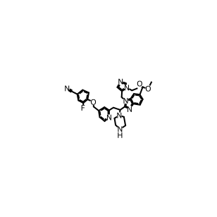 CCn1cncc1Cn1c(C(Cc2cc(COc3ccc(C#N)cc3F)ccn2)N2CCNCC2)nc2ccc(C(=O)OC)cc21